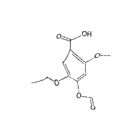 CCOc1cc(C(=O)O)c(OC)cc1OC=O